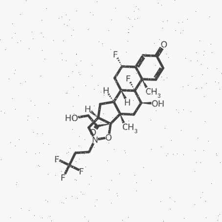 C[C@]12C=CC(=O)C=C1[C@@H](F)C[C@H]1[C@@H]3C[C@H]4CN(CCC(F)(F)F)O[C@@]4(C(=O)CO)[C@@]3(C)C[C@H](O)[C@@]12F